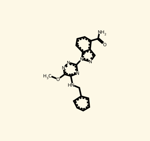 COc1nnc(-n2ncc3c(C(N)=O)cccc32)nc1NCc1ccccc1